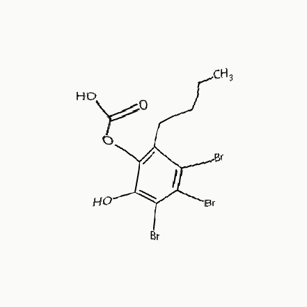 CCCCc1c(Br)c(Br)c(Br)c(O)c1OC(=O)O